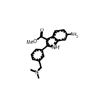 COC(=O)c1c(-c2cccc(CN(C)C)c2)[nH]c2cc(N)ccc12